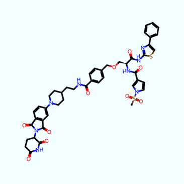 CS(=O)(=O)n1ccc(C(=O)N[C@@H](COCc2ccc(C(=O)NCCC3CCN(c4ccc5c(c4)C(=O)N(C4CCC(=O)NC4=O)C5=O)CC3)cc2)C(=O)Nc2nc(-c3ccccc3)cs2)c1